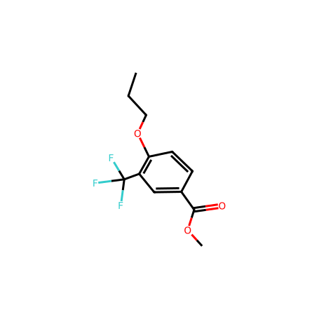 CCCOc1ccc(C(=O)OC)cc1C(F)(F)F